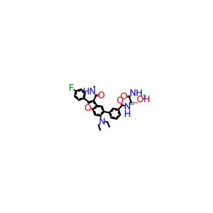 CCN(CC)c1cc2oc(-c3ccc(F)cc3)c(C(=O)NC)c2cc1-c1cccc(C(=O)N[C@@H](CO)C(N)=O)c1